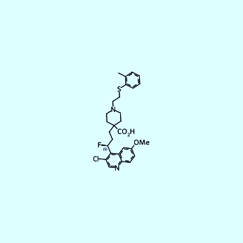 COc1ccc2ncc(Cl)c([C@@H](F)CCC3(C(=O)O)CCN(CCSc4ccccc4C)CC3)c2c1